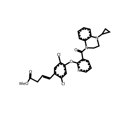 COC(=O)C/C=C/c1cc(Cl)c(Oc2ncccc2C(=O)N2CCN(C3CC3)c3ccccc32)cc1Cl